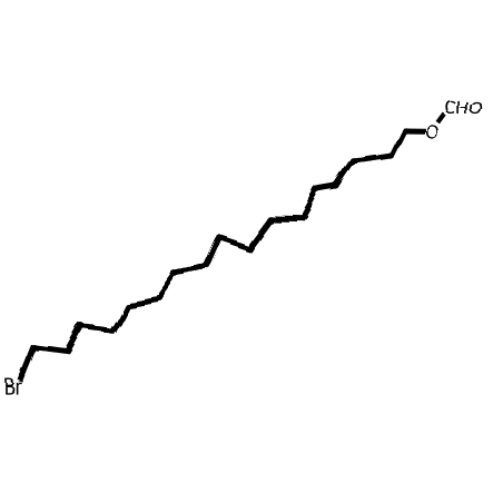 O=COCCCCCCCCCCCCCCCCCBr